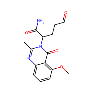 COc1cccc2nc(C)n(C(CCC=O)C(N)=O)c(=O)c12